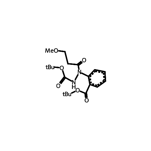 COCCC(=O)N(NC(=O)OC(C)(C)C)c1ccccc1C(=O)OC(C)(C)C